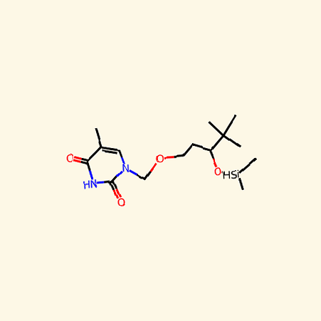 Cc1cn(COCCC(O[SiH](C)C)C(C)(C)C)c(=O)[nH]c1=O